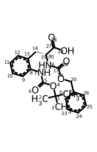 CC(C)(C)OC(=O)Nc1ccccc1C[C@@H](NC(=O)OCc1ccccc1)C(=O)O